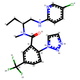 CC[C@@H](CNc1ccc(Cl)cn1)N(C)C(=O)c1cc(C(F)(F)F)ccc1-n1ccnn1